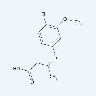 COc1cc(SC(C)CC(=O)O)ccc1Cl